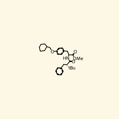 COC(=O)C(Cc1ccc(OCC2CCCCC2)cc1)NC(=O)[C@@H](Cc1ccccc1)C(C)(C)C